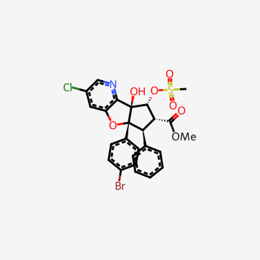 COC(=O)[C@H]1[C@@H](OS(C)(=O)=O)[C@@]2(O)c3ncc(Cl)cc3O[C@@]2(c2ccc(Br)cc2)[C@@H]1c1ccccc1